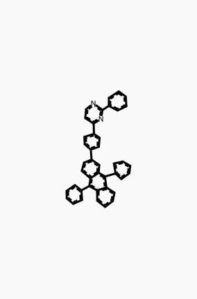 c1ccc(-c2nccc(-c3ccc(-c4ccc5c(-c6ccccc6)c6ccccc6c(-c6ccccc6)c5c4)cc3)n2)cc1